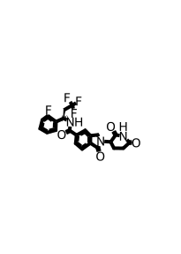 O=C1CCC(N2Cc3cc(C(=O)N[C@H](CC(F)(F)F)c4ccccc4F)ccc3C2=O)C(=O)N1